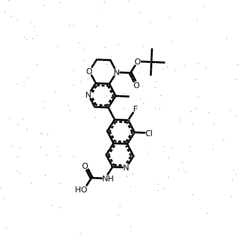 Cc1c(-c2cc3cc(NC(=O)O)ncc3c(Cl)c2F)cnc2c1N(C(=O)OC(C)(C)C)CCO2